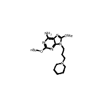 CCCCOc1nc(N)c2nc(OC)n(CCCN3CCCCC3)c2n1